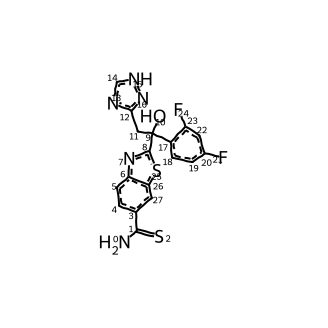 NC(=S)c1ccc2nc(C(O)(Cc3nc[nH]n3)c3ccc(F)cc3F)sc2c1